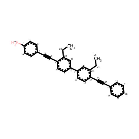 Bc1ccc(C#Cc2ccc(-c3ccc(C#Cc4ccccc4)c(CC)c3)cc2CC)cc1